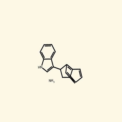 C1=CC2=C3C=C1C2CC3c1c[nH]c2ccccc12.N